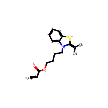 C=CC(=O)OCCCCN1C(=C(C#N)C#N)Sc2ccccc21